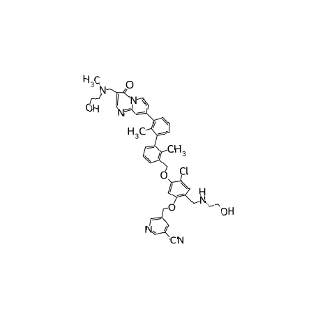 Cc1c(COc2cc(OCc3cncc(C#N)c3)c(CNCCO)cc2Cl)cccc1-c1cccc(-c2ccn3c(=O)c(CN(C)CCO)cnc3c2)c1C